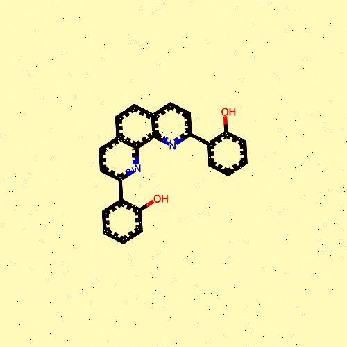 Oc1ccccc1-c1ccc2ccc3ccc(-c4ccccc4O)nc3c2n1